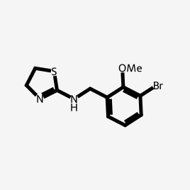 COc1c(Br)cccc1CNC1=NCCS1